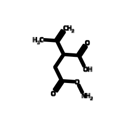 C=C(C)C(CC(=O)ON)C(=O)O